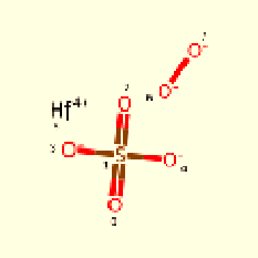 O=S(=O)([O-])[O-].[Hf+4].[O-][O-]